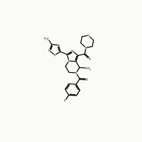 Cc1nsc(-c2nc(C(=O)N3CCOCC3)c3n2CCN(C(=O)c2ccc(F)cc2)C3C)n1